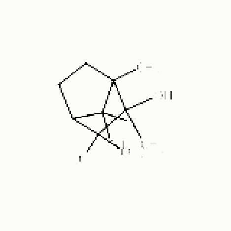 CC1(C)C2CCC(C)(C2(C)C)C1(C)O